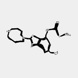 CC(C)(C)OC(=O)Nc1cc(Cl)cc2nc(N3CCCNCC3)oc12